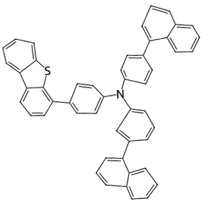 c1cc(-c2cccc3ccccc23)cc(N(c2ccc(-c3cccc4ccccc34)cc2)c2ccc(-c3cccc4c3sc3ccccc34)cc2)c1